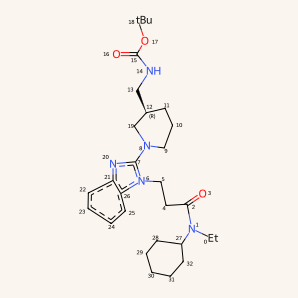 CCN(C(=O)CCn1c(N2CCC[C@H](CNC(=O)OC(C)(C)C)C2)nc2ccccc21)C1CCCCC1